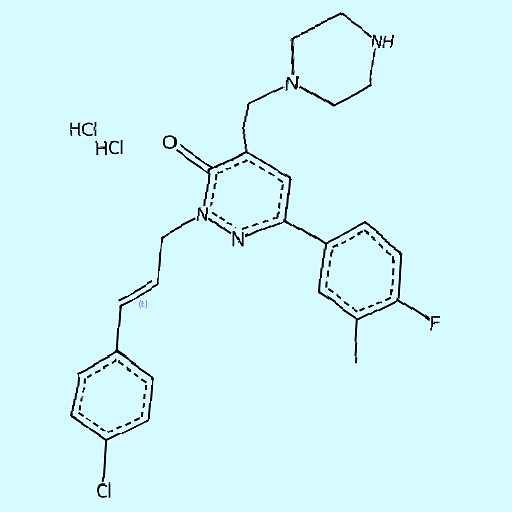 Cc1cc(-c2cc(CN3CCNCC3)c(=O)n(C/C=C/c3ccc(Cl)cc3)n2)ccc1F.Cl.Cl